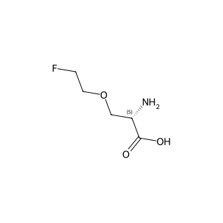 N[C@@H](COCCF)C(=O)O